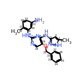 Cc1cc(Nc2nc(Nc3cc(N)ccc3C)ncc2OCc2ccccc2)n[nH]1